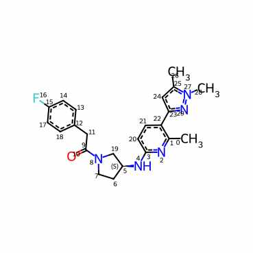 Cc1nc(N[C@H]2CCN(C(=O)Cc3ccc(F)cc3)C2)ccc1-c1cc(C)n(C)n1